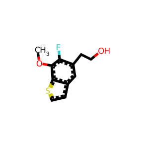 COc1c(F)c(CCO)cc2ccsc12